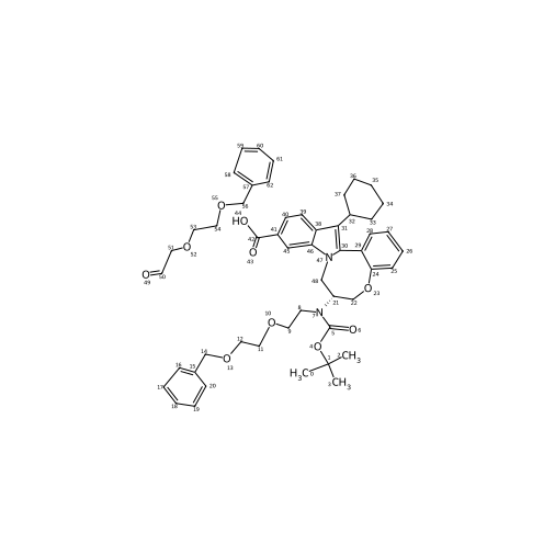 CC(C)(C)OC(=O)N(CCOCCOCc1ccccc1)[C@H]1COc2ccccc2-c2c(C3CCCCC3)c3ccc(C(=O)O)cc3n2C1.O=CCOCCOCc1ccccc1